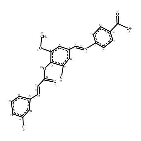 COc1cc(/C=N/c2ccc(C(=O)O)cc2)cc(Cl)c1OC(=O)/C=C/c1cccc(Cl)c1